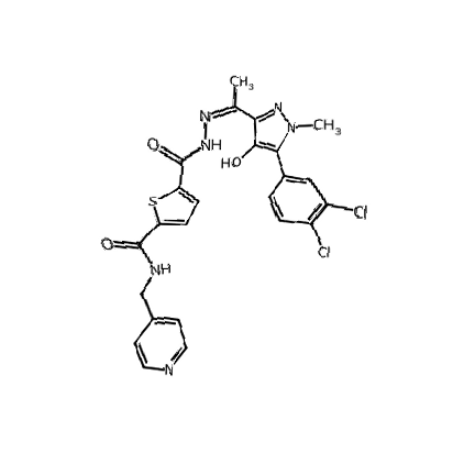 CC(=NNC(=O)c1ccc(C(=O)NCc2ccncc2)s1)c1nn(C)c(-c2ccc(Cl)c(Cl)c2)c1O